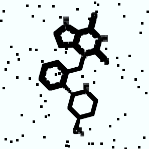 O=c1[nH]c(=S)n(Cc2ccccc2[C@H]2C[C@H](C(F)(F)F)CCN2)c2cc[nH]c12